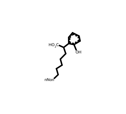 CCCCCCCCCCCCCCC(C(=O)O)c1ccccc1O